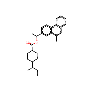 CCC(C)C1CCC(C(=O)OC(C)c2ccc3c(c2)c(C)cc2ccccc23)CC1